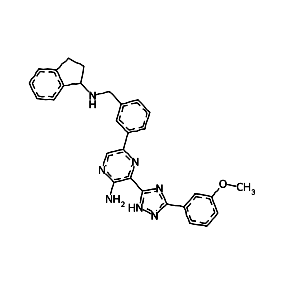 COc1cccc(-c2n[nH]c(-c3nc(-c4cccc(CNC5CCc6ccccc65)c4)cnc3N)n2)c1